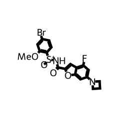 COc1cc(Br)ccc1[S+]([O-])NC(=O)c1cc2c(F)cc(N3CCC3)cc2o1